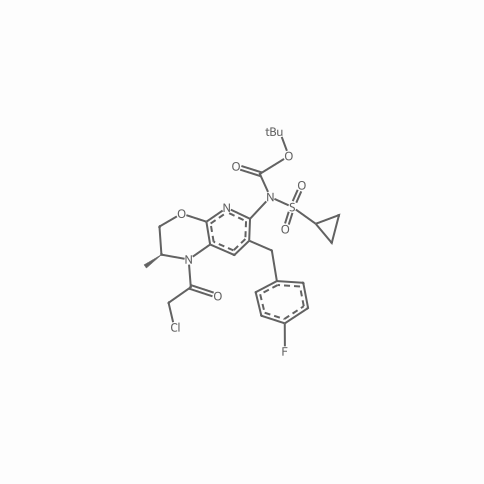 C[C@H]1COc2nc(N(C(=O)OC(C)(C)C)S(=O)(=O)C3CC3)c(Cc3ccc(F)cc3)cc2N1C(=O)CCl